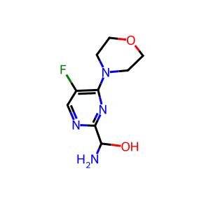 NC(O)c1ncc(F)c(N2CCOCC2)n1